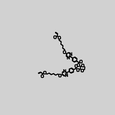 C=CC(=O)OCCCCCCOc1cnc(-c2ccc(C(=O)OC3OCCOC3OC(=O)c3ccc(-c4ncc(OCCCCCCOC(=O)C=C)cn4)cc3)cc2)nc1